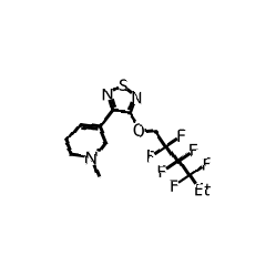 CCC(F)(F)C(F)(F)C(F)(F)COc1nsnc1C1=CCCN(C)C1